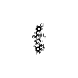 C[C@@H]1CC(F)(F)c2ncnc(N3CCN(C(=O)[C@H](N)Cc4ccc(Cl)cc4)CC3)c21